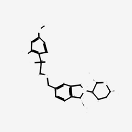 CC(C)Oc1ccc(C(F)(F)[C@H](O)NCc2ccc3c(c2)CN(C2CC[C@H](O)N[C@@H]2O)[C@H]3O)c(C(F)(F)F)c1